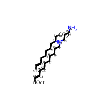 CCCCCCCCC=CCCCCCCCC(=O)O.CCCCCCCCC=CCCCCCCCCNCCCN